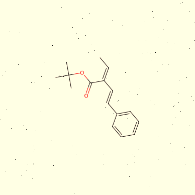 CC=C(C=Cc1ccccc1)C(=O)OC(C)(C)C